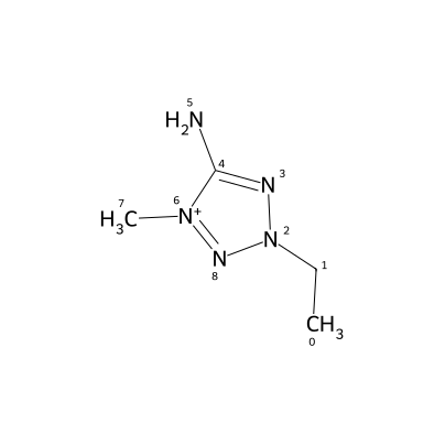 CCn1nc(N)[n+](C)n1